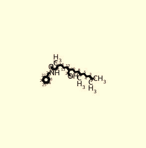 CC(C)=CCC/C(C)=C/CC/C(=C/CC/C(C)=C/C(=O)NCc1ccccc1)CO